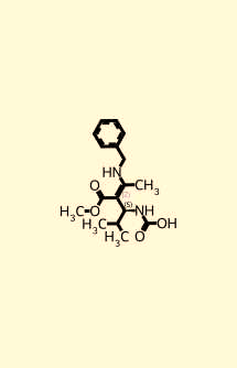 COC(=O)/C(=C(/C)NCc1ccccc1)[C@@H](NC(=O)O)C(C)C